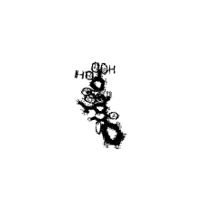 CCc1oc2ccccc2c1C(=O)c1cc(C(C)C)c(OS(=O)(=O)c2ccc(C(=O)O)c(O)c2)c(C(C)C)c1